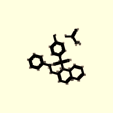 CC(N)=O.Cc1ccc(S(=O)(=O)N2C(COc3ccccc3)=CC=C3C=CC=CC32)cc1